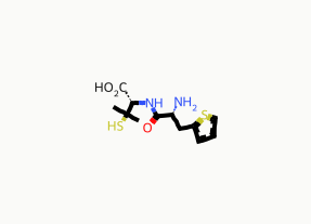 CC(C)(S)[C@@H](NC(=O)[C@H](N)Cc1cccs1)C(=O)O